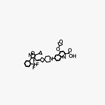 O=C(O)c1cc(OC2COC2)c2cc(N3CCC4(CC3)CC(=Cc3c(-c5ccccc5C(F)(F)F)noc3C3CC3)C4)ccc2n1